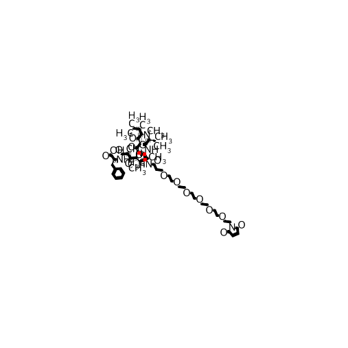 CC[C@H](C)[C@@H]([C@@H](CC(=O)N1CCC[C@H]1[C@H](OC)[C@@H](C)C(=O)N[C@@H](Cc1ccccc1)C(=O)O)OC)N(C)[C@H](C(=O)NC(=O)C(C)(C)NC(=O)CCOCCOCCOCCOCCOCCOCCN1C(=O)C=CC1=O)C(C)C